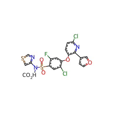 O=C(O)N(c1cscn1)S(=O)(=O)c1cc(Cl)c(Oc2ccc(Cl)nc2-c2ccoc2)cc1F